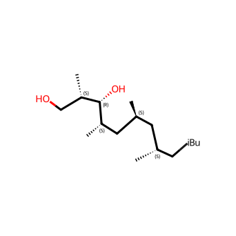 CCC(C)C[C@H](C)C[C@H](C)C[C@H](C)[C@@H](O)[C@@H](C)CO